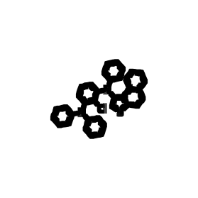 Clc1c(N(c2ccccc2)c2ccccc2)cccc1N(c1ccccc1)c1csc2ccc3ccccc3c12